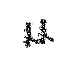 Cc1cc(-c2c(C(C)C)c(-c3ccc(N4CCN(C(=O)OC(C)(C)C)CC4=O)cc3)nn2COCC[Si](C)(C)C)cn2ncnc12.Cc1cc(-c2c(C(C)C)c(-c3ccc(N4CCN(C(=O)OC(C)(C)C)CC4=O)cc3)nn2COCC[Si](C)(C)C)cn2ncnc12